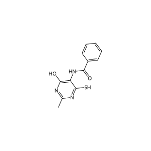 Cc1nc(O)c(NC(=O)c2ccccc2)c(S)n1